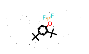 CC(C)(C)c1ccc(OP(F)F)c(C(C)(C)C)c1